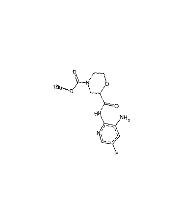 CC(C)(C)OC(=O)N1CCOC(C(=O)Nc2ncc(F)cc2N)C1